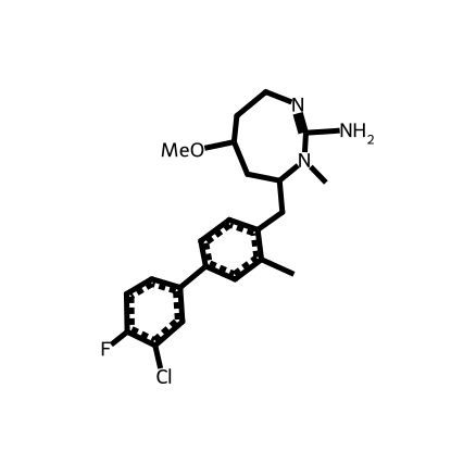 COC1CC/N=C(/N)N(C)C(Cc2ccc(-c3ccc(F)c(Cl)c3)cc2C)C1